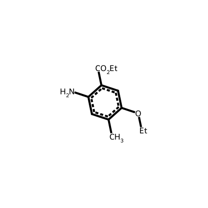 CCOC(=O)c1cc(OCC)c(C)cc1N